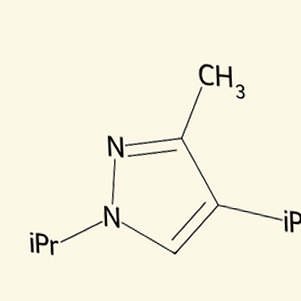 Cc1nn(C(C)C)cc1C(C)C